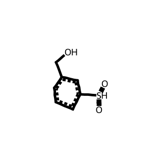 O=[SH](=O)c1cccc(CO)c1